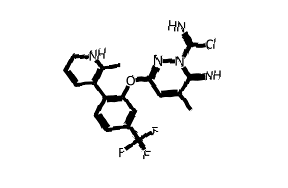 CC1=C(c2ccc(C(F)(F)F)cc2Oc2cc(C)c(=N)n(C(=N)Cl)n2)C=CCN1